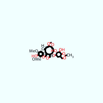 C=C1/C=C2/OCO/C2=C/C[C@@H](OC2CC3COC(C)OC3C(O)C2O)[C@H]2COC(=O)[C@@H]2[C@@H]1c1cc(OC)c(O)c(OC)c1